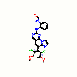 COC/C(Cl)=C(\C(Cl)=C(/C)OC)c1cc2cnc(Nc3ccccc3NC=O)nc2n2ccnc12